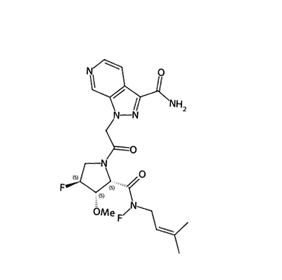 CO[C@H]1[C@@H](C(=O)N(F)CC=C(C)C)N(C(=O)Cn2nc(C(N)=O)c3ccncc32)C[C@@H]1F